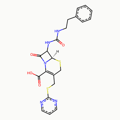 O=C(NCCc1ccccc1)NC1C(=O)N2C(C(=O)O)=C(CSc3ncccn3)CS[C@H]12